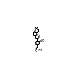 COCCc1ccc(C2COc3c(ccc4c3CCC(C)(C)O4)C2)c(N=O)c1